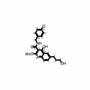 COc1nc2ccc(CCCO)cc2c(O)c1C(=O)NCc1ccc(Cl)cc1